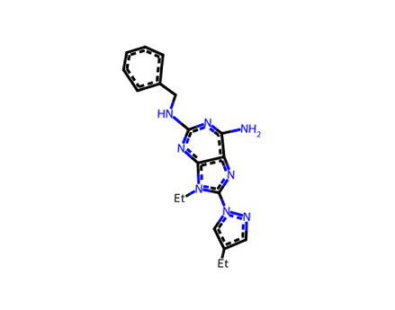 CCc1cnn(-c2nc3c(N)nc(NCc4ccccc4)nc3n2CC)c1